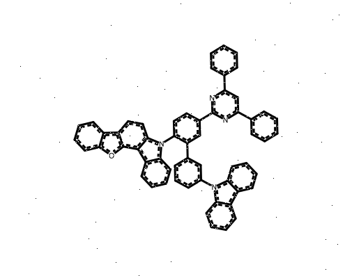 c1ccc(-c2cc(-c3ccccc3)nc(-c3ccc(-n4c5ccccc5c5c6oc7ccccc7c6ccc54)c(-c4cccc(-n5c6ccccc6c6ccccc65)c4)c3)n2)cc1